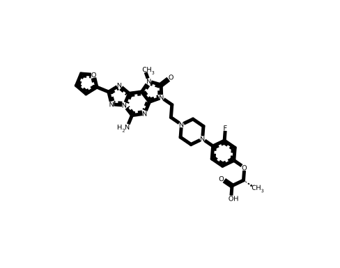 C[C@@H](Oc1ccc(N2CCN(CCn3c(=O)n(C)c4c3nc(N)n3nc(-c5ccco5)nc43)CC2)c(F)c1)C(=O)O